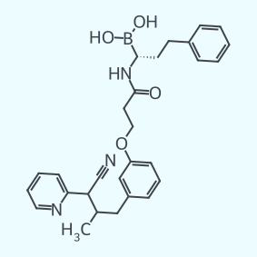 CC(Cc1cccc(OCCC(=O)N[C@@H](CCc2ccccc2)B(O)O)c1)C(C#N)c1ccccn1